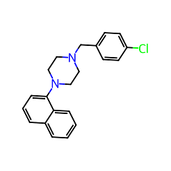 Clc1ccc(CN2CCN(c3cccc4ccccc34)CC2)cc1